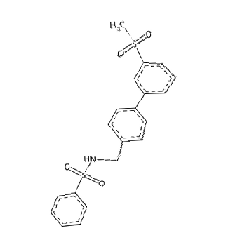 CS(=O)(=O)c1cccc(-c2ccc(CNS(=O)(=O)c3ccccc3)cc2)c1